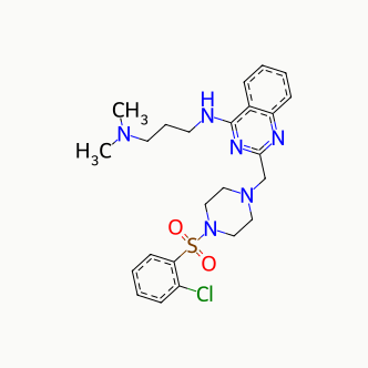 CN(C)CCCNc1nc(CN2CCN(S(=O)(=O)c3ccccc3Cl)CC2)nc2ccccc12